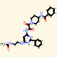 CC(=O)NCCNc1cc(NC(=O)C(=O)N2CCC(NC(=O)c3ccccc3)CC2)nc(-c2ccccc2)n1